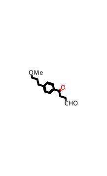 COCCCc1ccc(C(=O)CCC=O)cc1